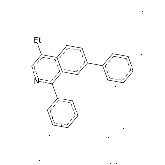 CCc1cnc(-c2ccccc2)c2cc(-c3ccccc3)ccc12